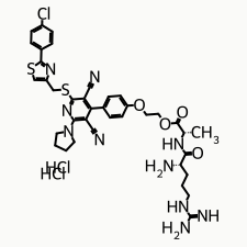 C[C@H](NC(=O)[C@@H](N)CCCNC(=N)N)C(=O)OCCOc1ccc(-c2c(C#N)c(SCc3csc(-c4ccc(Cl)cc4)n3)nc(N3CCCC3)c2C#N)cc1.Cl.Cl